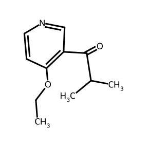 CCOc1ccncc1C(=O)C(C)C